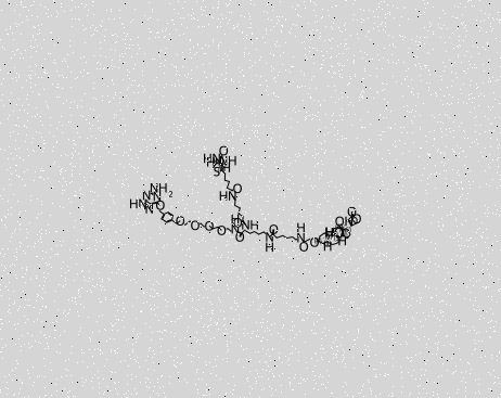 C[C@@]12CC[C@@H](OCC(=O)NCCCCCC(=O)NCCCCC(NC(=O)CCCCCNC(=O)CCCC[C@H]3SC[C@H]4NC(=O)N[C@H]43)C(=O)NCCOCCOCCOCCOCc3ccc(COc4nc(N)nc5[nH]cnc45)cc3)C[C@@H]1CC[C@H]1[C@@H]2C[C@H](O)[C@@]2(C)[C@H](C3=CC(=O)OC3)CC[C@@]12O